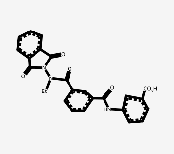 CCN(C(=O)c1cccc(C(=O)Nc2cccc(C(=O)O)c2)c1)N1C(=O)c2ccccc2C1=O